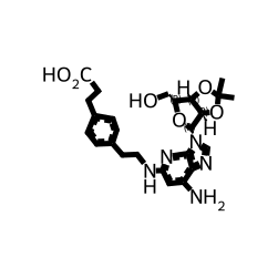 CC1(C)O[C@@H]2[C@H](O1)[C@@H](CO)O[C@H]2n1cnc2c(N)cc(NCCc3ccc(CCC(=O)O)cc3)nc21